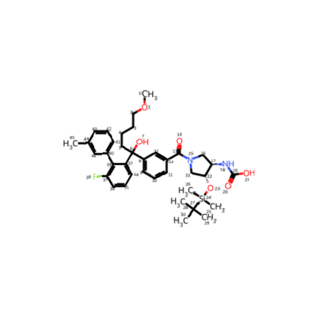 COCCCCC(O)(c1cccc(C(=O)N2C[C@@H](NC(=O)O)[C@H](O[Si](C)(C)C(C)(C)C)C2)c1)c1cccc(F)c1-c1cccc(C)c1